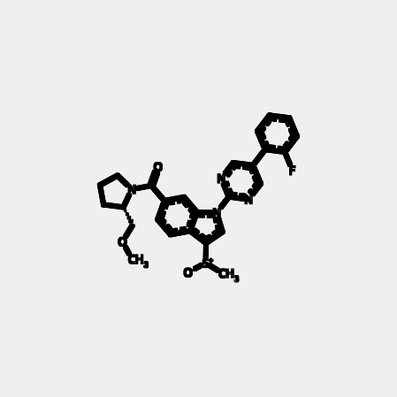 COC[C@@H]1CCCN1C(=O)c1ccc2c([S+](C)[O-])cn(-c3ncc(-c4ccccc4F)cn3)c2c1